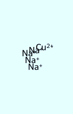 [Cu+2].[Na+].[Na+].[Na+].[Na+]